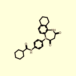 O=C1CC(=O)N(c2ccc(NC(=O)C3CCCCC3)cc2)c2ccc3c(c2N1)CCCC3